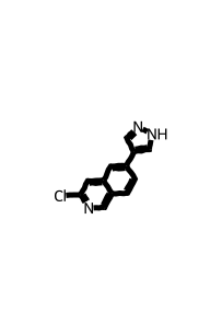 Clc1cc2cc(-c3cn[nH]c3)ccc2cn1